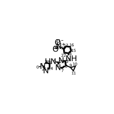 Cn1cc(Nc2ncc(C3CC3)c(Nc3cccc([N+](=O)[O-])c3)n2)cn1